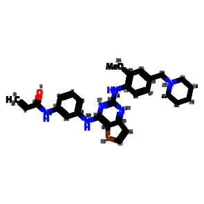 C=CC(=O)Nc1cccc(Nc2nc(Nc3ccc(CN4CCCCC4)cc3OC)nc3ccsc23)c1